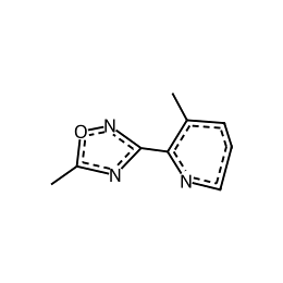 Cc1nc(-c2ncccc2C)no1